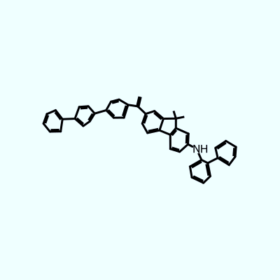 C=C(c1ccc(-c2ccc(-c3ccccc3)cc2)cc1)c1ccc2c(c1)C(C)(C)c1cc(Nc3ccccc3-c3ccccc3)ccc1-2